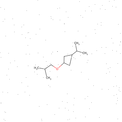 CC(C)COC1CC(C(C)C)C1